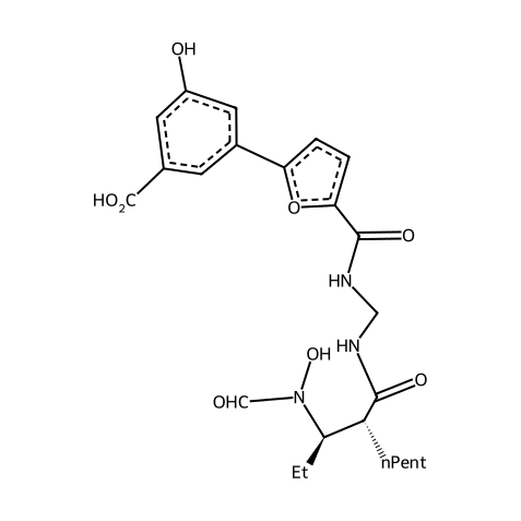 CCCCC[C@@H](C(=O)NCNC(=O)c1ccc(-c2cc(O)cc(C(=O)O)c2)o1)[C@@H](CC)N(O)C=O